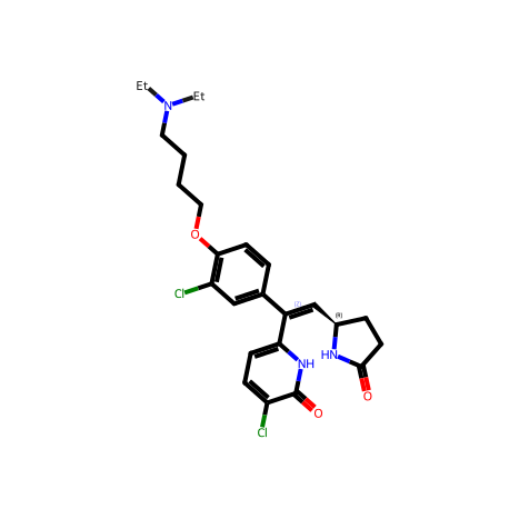 CCN(CC)CCCCOc1ccc(/C(=C/[C@H]2CCC(=O)N2)c2ccc(Cl)c(=O)[nH]2)cc1Cl